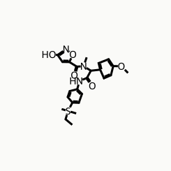 CCS(C)(C)c1ccc(NC(=O)C(c2ccc(OC)cc2)N(C)C(=O)c2cc(O)no2)cc1